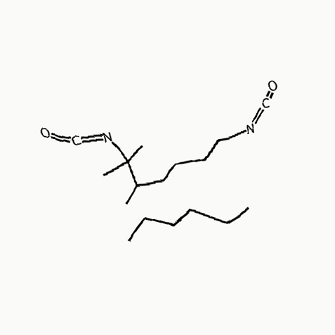 CC(CCCCN=C=O)C(C)(C)N=C=O.CCCCCC